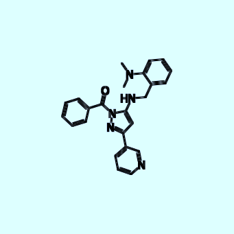 CN(C)c1ccccc1CNc1cc(-c2cccnc2)nn1C(=O)c1ccccc1